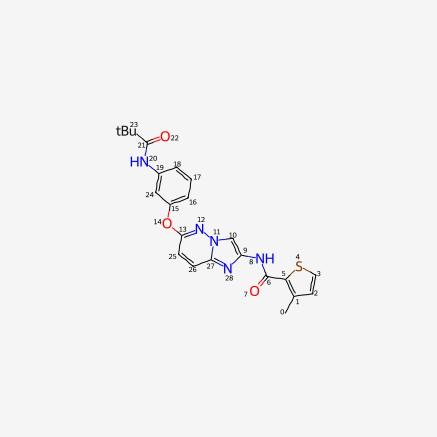 Cc1ccsc1C(=O)Nc1cn2nc(Oc3cccc(NC(=O)C(C)(C)C)c3)ccc2n1